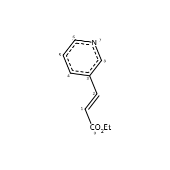 CCOC(=O)C=Cc1cc[c]nc1